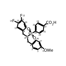 COc1ccc(CN(Cc2ccc(F)c(F)c2)S(=O)(=O)c2ccc(C(=O)O)cc2)cc1